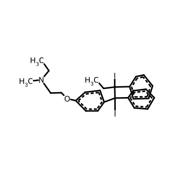 CCN(C)CCOc1ccc(C(I)(c2ccccc2)C(I)(CC)c2ccccc2)cc1